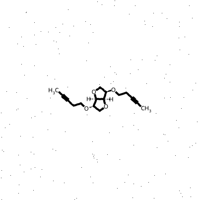 CC#CCCO[C@H]1CO[C@H]2[C@@H]1OC[C@H]2OCCC#CC